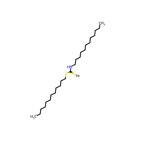 CCCCCCCCCCCCNC(=S)SCCCCCCCCCCCC.[Fe]